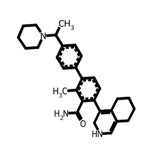 Cc1c(-c2ccc(C(C)N3CCCCC3)cc2)ccc(C2=C3CCCCC3=CNC2)c1C(N)=O